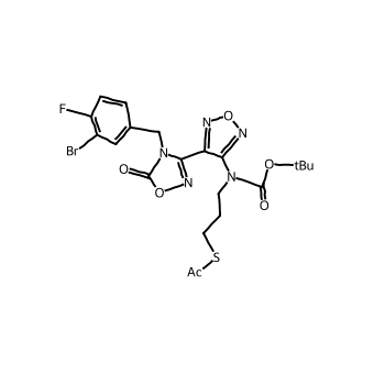 CC(=O)SCCCN(C(=O)OC(C)(C)C)c1nonc1-c1noc(=O)n1Cc1ccc(F)c(Br)c1